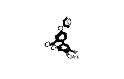 O=c1oc2cc(O)c(F)cc2c2ccc(O[C@H]3CCOC3)cc12